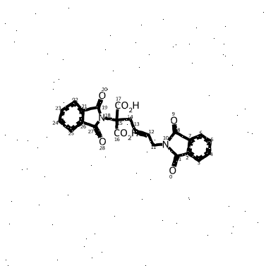 O=C1c2ccccc2C(=O)N1CC=CCC(C(=O)O)(C(=O)O)N1C(=O)c2ccccc2C1=O